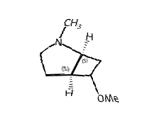 COC1C[C@H]2[C@@H]1CCN2C